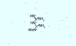 CNC(N)NC(=N)N